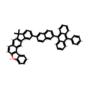 CC1(C)c2ccc(-c3ccc4cc(-c5c6ccccc6c(-c6ccccc6)c6ccccc56)ccc4c3)cc2-c2cc3c(ccc4oc5ccccc5c43)cc21